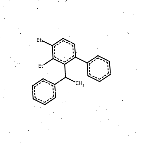 CCc1ccc(-c2ccccc2)c(C(C)c2ccccc2)c1CC